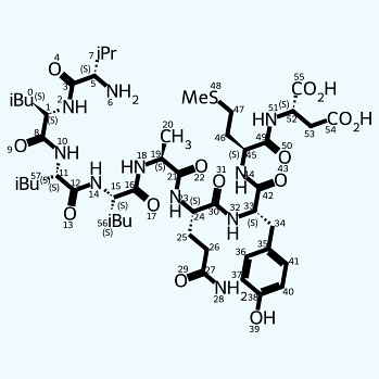 CC[C@H](C)[C@H](NC(=O)[C@@H](N)C(C)C)C(=O)N[C@H](C(=O)N[C@H](C(=O)N[C@@H](C)C(=O)N[C@@H](CCC(N)=O)C(=O)N[C@@H](Cc1ccc(O)cc1)C(=O)N[C@@H](CCSC)C(=O)N[C@@H](CC(=O)O)C(=O)O)[C@@H](C)CC)[C@@H](C)CC